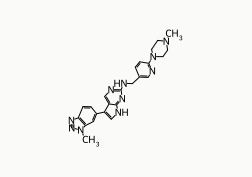 CN1CCN(c2ccc(CNc3ncc4c(-c5ccc6nnn(C)c6c5)c[nH]c4n3)cn2)CC1